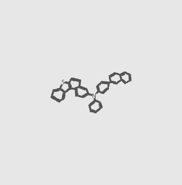 c1ccc(N(c2ccc(-c3ccc4ccccc4c3)cc2)c2ccc3c(ccc4sc5ccccc5c43)c2)cc1